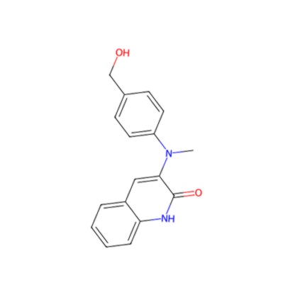 CN(c1ccc(CO)cc1)c1cc2ccccc2[nH]c1=O